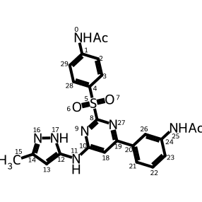 CC(=O)Nc1ccc(S(=O)(=O)c2nc(Nc3cc(C)n[nH]3)cc(-c3cccc(NC(C)=O)c3)n2)cc1